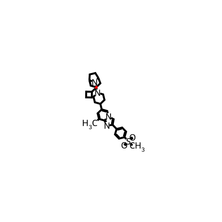 Cc1cc(C2CCN(C3CC4CCC(C3)N4CC3CCC3)CC2)cn2cc(-c3ccc(S(C)(=O)=O)cc3)nc12